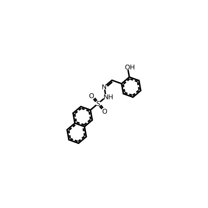 O=S(=O)(N/N=C\c1ccccc1O)c1ccc2ccccc2c1